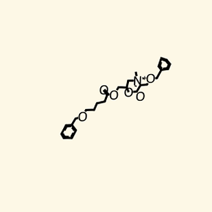 C[N+](C)(C)CC(COC(=O)CCCCOCc1ccccc1)OC(=O)CCOCc1ccccc1